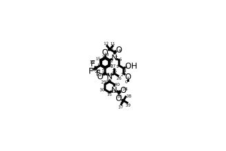 COCC(O)CCN1C(=O)C(C)(C)Oc2cc(C(F)(F)F)c(C(=O)N(C(C)C)[C@@H]3CCCN(C(=O)OC(C)(C)C)C3)cc21